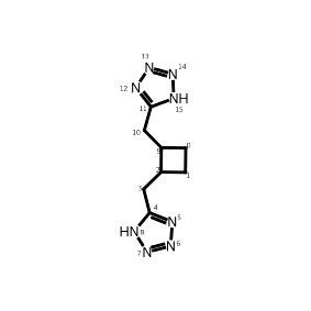 C1CC(Cc2nnn[nH]2)C1Cc1nnn[nH]1